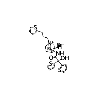 O=C(N[C@H]1C[N+]2(CCCc3cccs3)CCC1CC2)C(O)(c1cccs1)c1cccs1.[Br-]